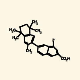 Cc1cc2c(cc1-c1ccc3cc(C(=O)O)cc(F)c3c1)C(C)(C)CCC2(C)C